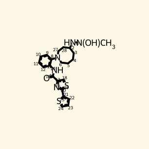 CN(O)NC1CCCCN(c2ccccc2NC(=O)c2csc(-c3cccs3)n2)CC1